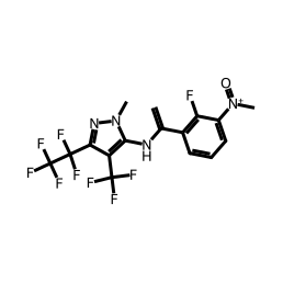 C=C(Nc1c(C(F)(F)F)c(C(F)(F)C(F)(F)F)nn1C)c1cccc([N+](C)=O)c1F